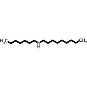 CCCCCCCCCNCCCCCCC